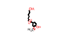 COc1cc(C2OCC(CCCCCO)O2)ccc1O